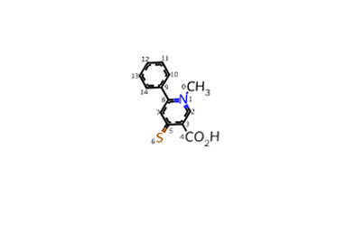 Cn1cc(C(=O)O)c(=S)cc1-c1ccccc1